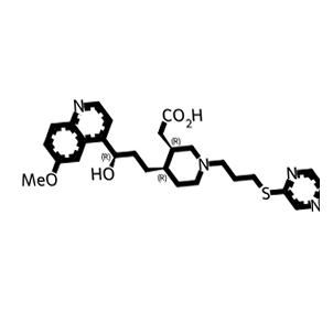 COc1ccc2nccc([C@H](O)CC[C@@H]3CCN(CCCSc4cnccn4)C[C@@H]3CC(=O)O)c2c1